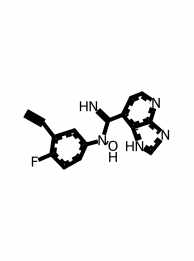 C#Cc1cc(N(O)C(=N)c2ccnc3nc[nH]c23)ccc1F